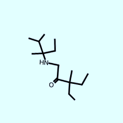 CCC(C)(CC)C(=O)CNC(C)(CC)C(C)C